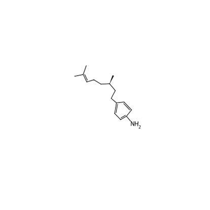 CC(C)=CCC[C@@H](C)CCc1ccc(N)cc1